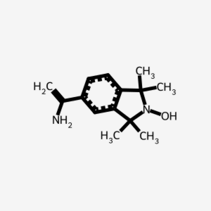 C=C(N)c1ccc2c(c1)C(C)(C)N(O)C2(C)C